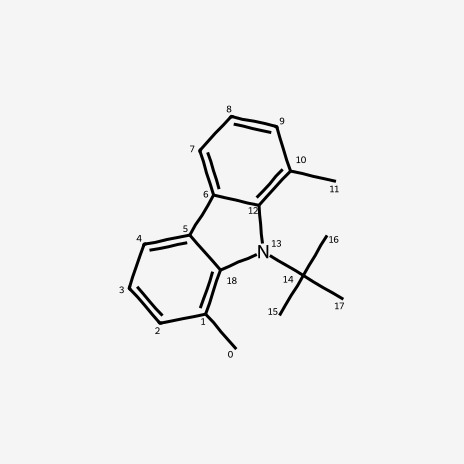 Cc1cccc2c3cccc(C)c3n(C(C)(C)C)c12